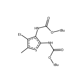 CCc1c(C)sc(NC(=O)OC(C)(C)C)c1NC(=O)OC(C)(C)C